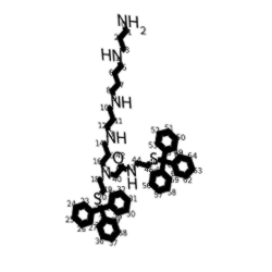 NCCCNCCCCNCCCNCCCN(CCSC(c1ccccc1)(c1ccccc1)c1ccccc1)CC(=O)NCCSC(c1ccccc1)(c1ccccc1)c1ccccc1